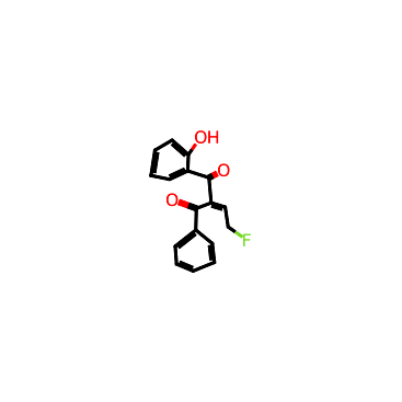 O=C(/C(=C\CF)C(=O)c1ccccc1O)c1ccccc1